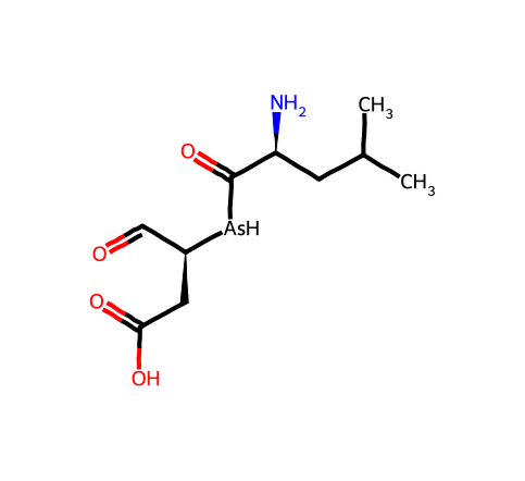 CC(C)C[C@H](N)C(=O)[AsH][C@H](C=O)CC(=O)O